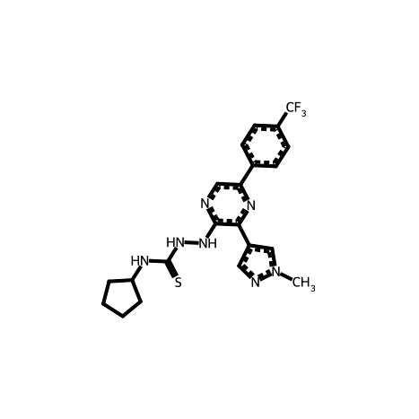 Cn1cc(-c2nc(-c3ccc(C(F)(F)F)cc3)cnc2NNC(=S)NC2CCCC2)cn1